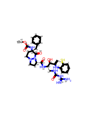 C=C(Nc1ccccc1S)C(O)[C@H](CNC(=O)NC(=N)N)NC(=O)[C@@H]1CCN2CC[C@](Cc3ccccc3)(NC(=O)OC(C)(C)C)C(=O)N12